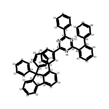 c1ccc(-c2nc(-c3cccc(-c4cccc5c4C(c4ccccc4)(c4ccccc4)c4ccccc4-5)c3)nc(-c3ccccc3-c3ccccc3)n2)cc1